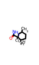 CC1CCC(C(C)C)C(C(N)=O)(C(=O)O)C1